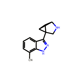 N#Cc1cccc2c(C34CNC5C3C54)n[nH]c12